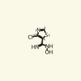 N=C(NO)c1scnc1Cl